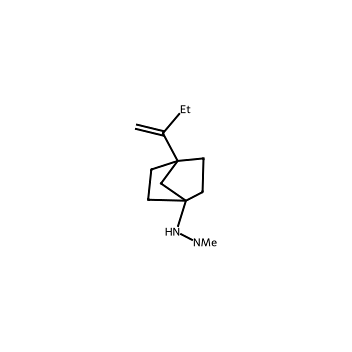 C=C(CC)C12CCC(NNC)(CC1)C2